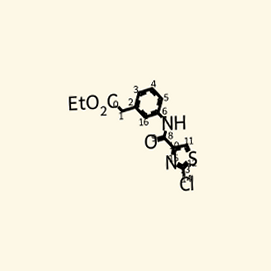 CCOC(=O)Cc1cccc(NC(=O)c2csc(Cl)n2)c1